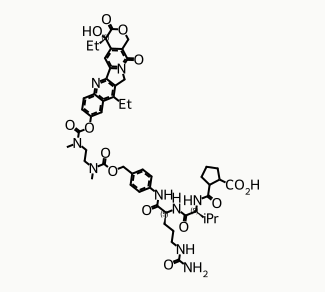 CCc1c2c(nc3ccc(OC(=O)N(C)CCN(C)C(=O)OCc4ccc(NC(=O)[C@H](CCCNC(N)=O)NC(=O)[C@@H](NC(=O)C5CCCC5C(=O)O)C(C)C)cc4)cc13)-c1cc3c(c(=O)n1C2)COC(=O)[C@]3(O)CC